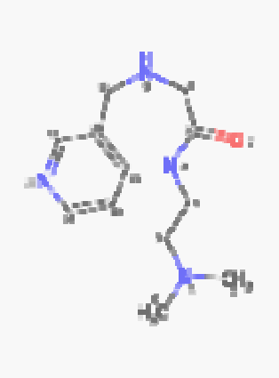 CN(C)CCN1C(=O)CNCc2cnccc21